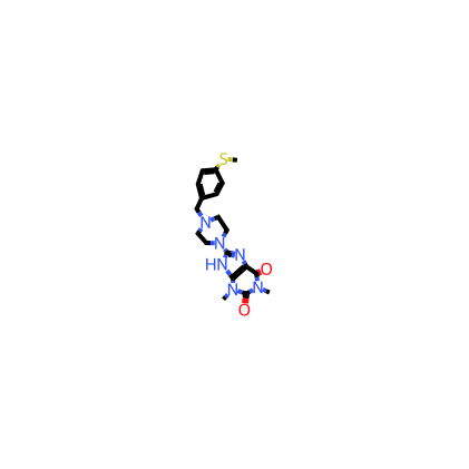 CSc1ccc(CN2CCN(c3nc4c(=O)n(C)c(=O)n(C)c4[nH]3)CC2)cc1